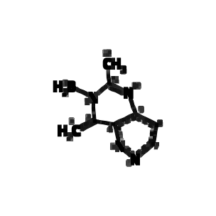 BN1C(=C)c2nnccc2N=C1C